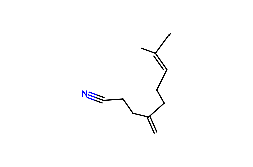 C=C(CCC#N)CCC=C(C)C